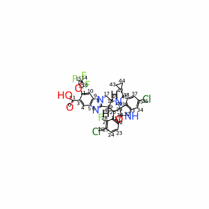 O=C(O)c1cc2nc3n(c2cc1OC(F)(F)F)C[C@H]1[C@@H]3[C@H](c2cccc(Cl)c2F)[C@]2(C(=O)Nc3cc(Cl)ccc32)N1CC1CC1